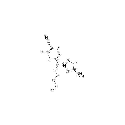 CCCCCC(c1ccc(C#N)c(C)c1)N1CCC(N)C1